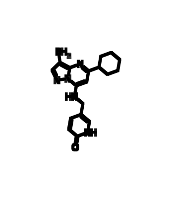 Bc1cnn2c(NCc3ccc(=O)[nH]c3)cc(C3CCCCC3)nc12